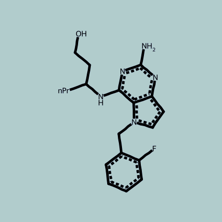 CCCC(CCO)Nc1nc(N)nc2ccn(Cc3ccccc3F)c12